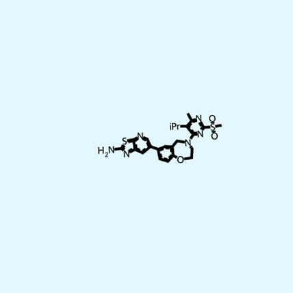 Cc1nc(S(C)(=O)=O)nc(N2CCOc3ccc(-c4cnc5sc(N)nc5c4)cc3C2)c1C(C)C